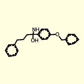 NC(O)(CCCc1ccccc1)c1ccc(OCc2ccccc2)cc1